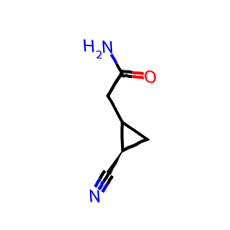 N#C[C@@H]1CC1CC(N)=O